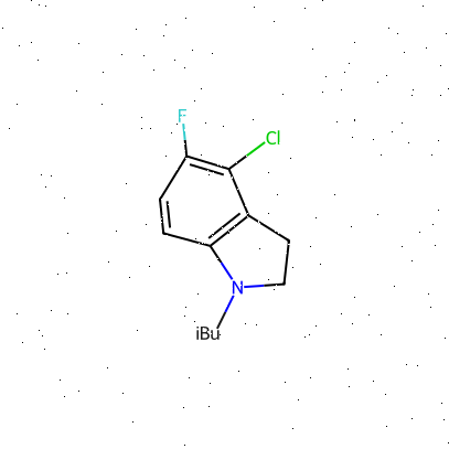 CCC(C)N1CCc2c1ccc(F)c2Cl